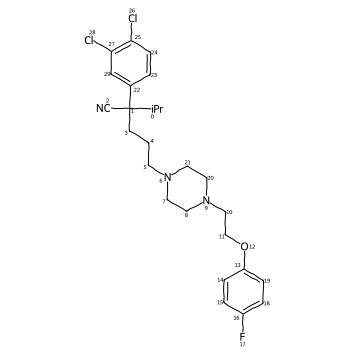 CC(C)C(C#N)(CCCN1CCN(CCOc2ccc(F)cc2)CC1)c1ccc(Cl)c(Cl)c1